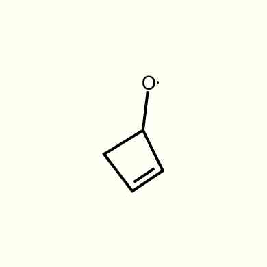 [O]C1C=CC1